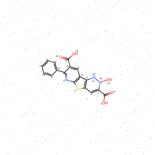 O=C(O)C1=Cc2sc3nc(-c4ccccc4)c(C(=O)O)cc3c2NN1O